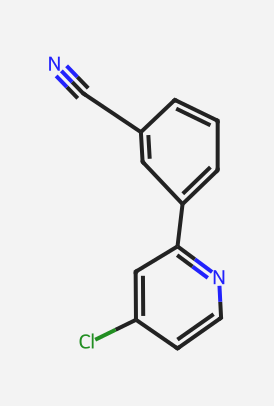 N#Cc1cccc(-c2cc(Cl)ccn2)c1